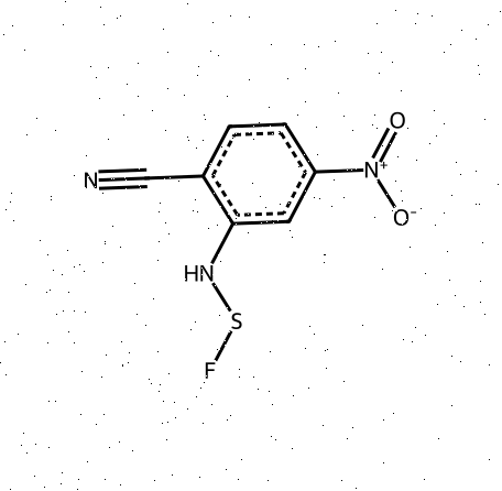 N#Cc1ccc([N+](=O)[O-])cc1NSF